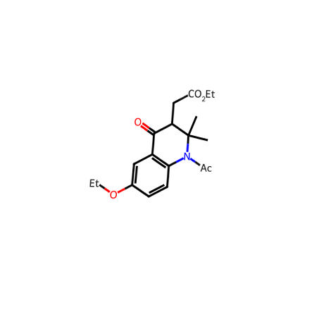 CCOC(=O)CC1C(=O)c2cc(OCC)ccc2N(C(C)=O)C1(C)C